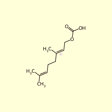 CC(C)=CCC/C(C)=C/COC(=O)O